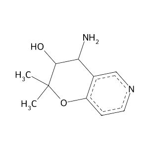 CC1(C)Oc2ccncc2C(N)C1O